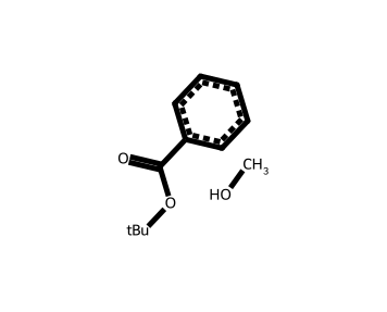 CC(C)(C)OC(=O)c1ccccc1.CO